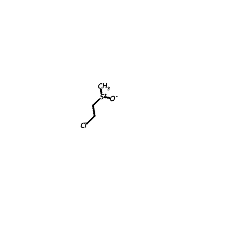 C[S+]([O-])CCCl